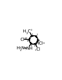 Cc1ccc(Cl)c(NN)c1Cl.Cl